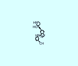 C#Cc1cccc(Nc2ncnc3ccc(C#CC4(O)CCCNC4)cc23)c1